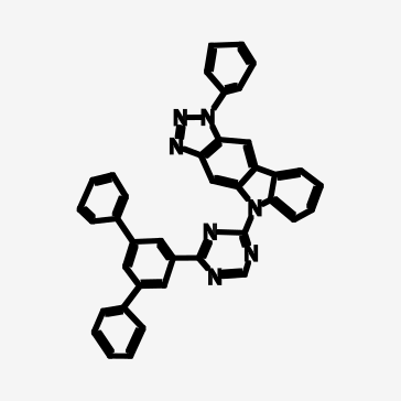 c1ccc(-c2cc(-c3ccccc3)cc(-c3ncnc(-n4c5ccccc5c5cc6c(cc54)nnn6-c4ccccc4)n3)c2)cc1